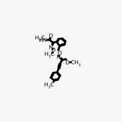 CNC(=O)/C(=N/OC)c1ccccc1CO/N=C(/C#Cc1ccc(C)cc1)COC